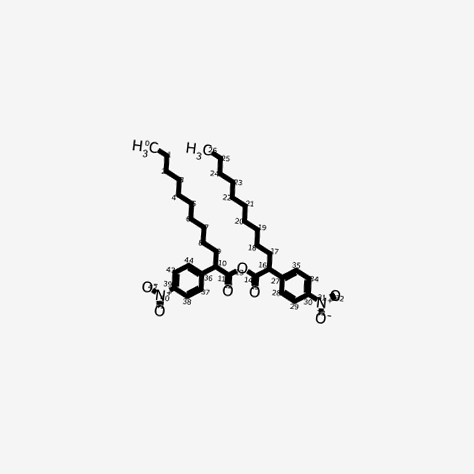 CCCCCCCCCCC(C(=O)OC(=O)C(CCCCCCCCCC)c1ccc([N+](=O)[O-])cc1)c1ccc([N+](=O)[O-])cc1